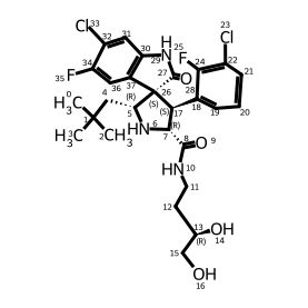 CC(C)(C)C[C@H]1N[C@@H](C(=O)NCC[C@@H](O)CO)[C@H](c2cccc(Cl)c2F)[C@@]12C(=O)Nc1cc(Cl)c(F)cc12